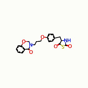 O=C1NC(Cc2ccc(OCCCN3COc4ccccc4C3=O)cc2)C(=O)S1